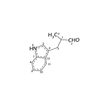 C[C](C=O)Cc1c[nH]c2ccccc12